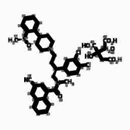 CN(C[C@@H](CCN1CCC(c2ccccc2[S@@+](C)[O-])CC1)c1ccc(Cl)c(Cl)c1)C(=O)c1cc(C#N)cc2ccccc12.O.O=C(O)CC(O)(CC(=O)O)C(=O)O